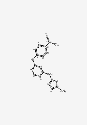 Cn1cc(Nc2cc(Oc3ccc([N+](=O)[O-])nc3)ccn2)cn1